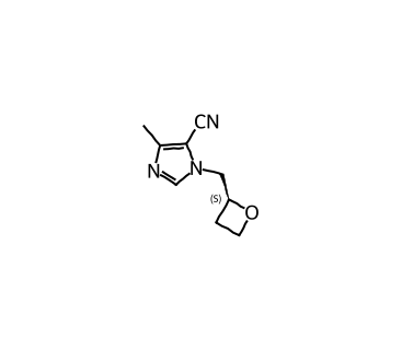 Cc1ncn(C[C@@H]2CCO2)c1C#N